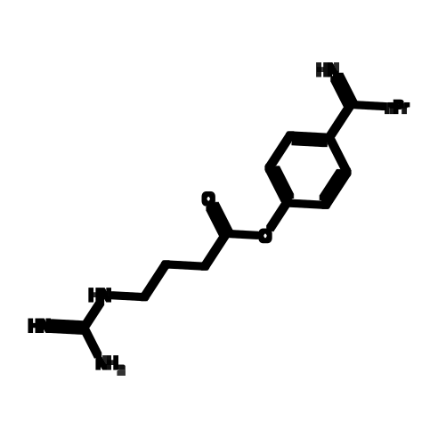 CCCC(=N)c1ccc(OC(=O)CCCNC(=N)N)cc1